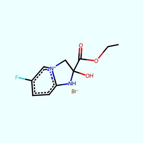 CCOC(=O)C1(O)C[n+]2cc(F)ccc2N1.[Br-]